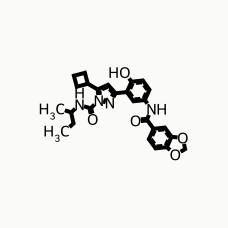 CCC(C)NC(=O)n1nc(-c2cc(NC(=O)c3ccc4c(c3)OCO4)ccc2O)cc1C1CCC1